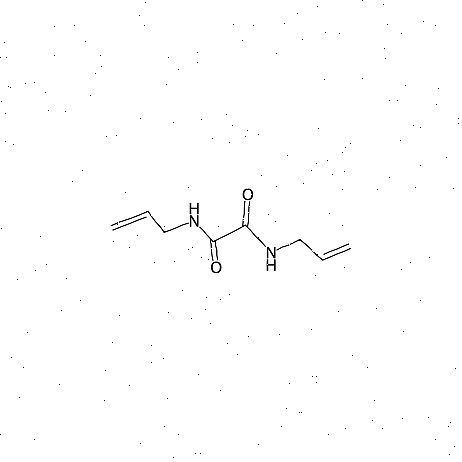 C=CCNC(=O)C(=O)NCC=C